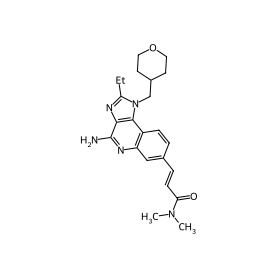 CCc1nc2c(N)nc3cc(C=CC(=O)N(C)C)ccc3c2n1CC1CCOCC1